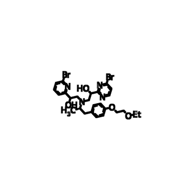 CCOCCOc1ccc(C[C@@H](C)N(CC(O)c2cccc(Br)n2)CC(O)c2nccc(Br)n2)cc1